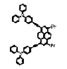 CC(C)c1cc(C#Cc2ccc(N(c3ccccc3)c3ccccc3)cc2)c2ccc3c(C#Cc4ccc(N(c5ccccc5)c5ccccc5)cc4)cc(C(C)C)c4ccc1c2c34